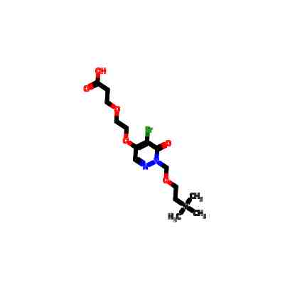 C[Si](C)(C)CCOCn1ncc(OCCOCCC(=O)O)c(Br)c1=O